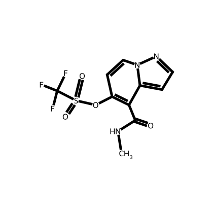 CNC(=O)c1c(OS(=O)(=O)C(F)(F)F)ccn2nccc12